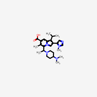 Cc1c(C(=O)O)cc2c(C(C)C)c(-c3cncn3C)cn2c1C(C)N1CCC(N(C)C)CC1